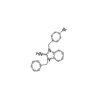 N=c1n(Cc2ccccc2)c2ccccc2n1Cc1ccc(Br)cc1